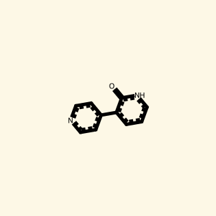 O=c1[nH]cccc1-c1ccncc1